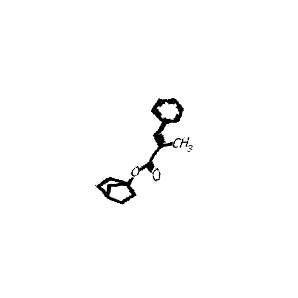 CC(=Cc1ccccc1)C(=O)OC12CCC(CC1)C2